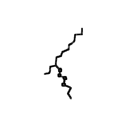 CCCCCCCCCC(CCC)OOOOCCC